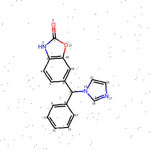 O=c1[nH]c2ccc(C(c3ccccc3)n3ccnc3)cc2o1